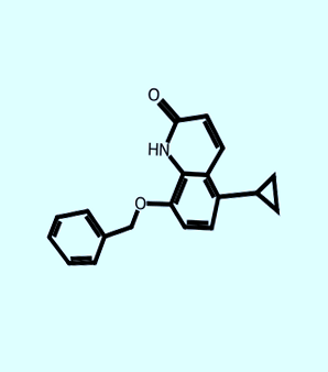 O=c1ccc2c(C3CC3)ccc(OCc3ccccc3)c2[nH]1